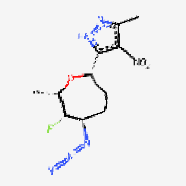 Cc1n[nH]c([C@@H]2CC[C@@H](N=[N+]=[N-])[C@H](F)[C@H](C)O2)c1[N+](=O)[O-]